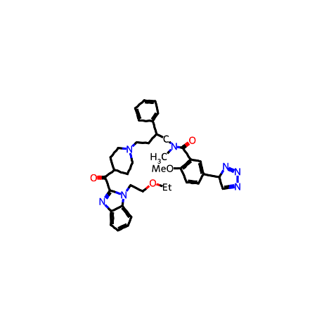 CCOCCn1c(C(=O)C2CCN(CCC(CN(C)C(=O)c3cc(C4C=NN=N4)ccc3OC)c3ccccc3)CC2)nc2ccccc21